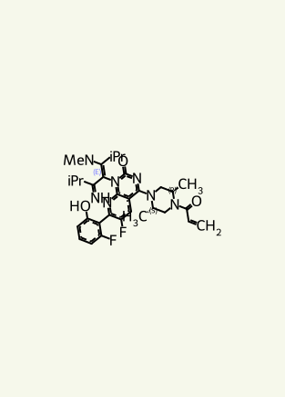 C=CC(=O)N1C[C@H](C)N(c2nc(=O)n(/C(C(=N)C(C)C)=C(/NC)C(C)C)c3nc(-c4c(O)cccc4F)c(F)cc23)C[C@H]1C